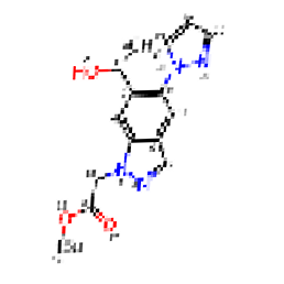 C[C@@H](O)c1cc2c(cnn2CC(=O)OC(C)(C)C)cc1-n1cccn1